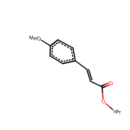 CCCOC(=O)/C=C/c1ccc(OC)cc1